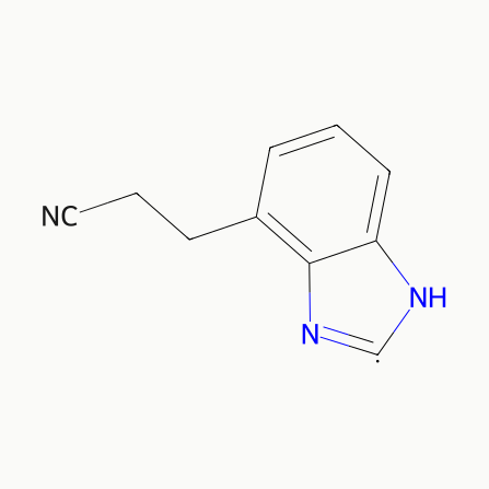 N#CCCc1cccc2[nH][c]nc12